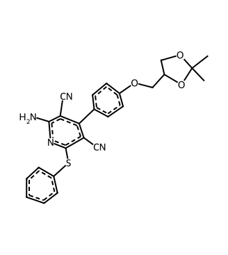 CC1(C)OCC(COc2ccc(-c3c(C#N)c(N)nc(Sc4ccccc4)c3C#N)cc2)O1